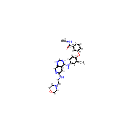 Cc1cc(Nc2ncnc3cnc(NCCN4CCOCC4)cc23)ccc1Oc1cccc(C(=O)NC(C)(C)C)c1